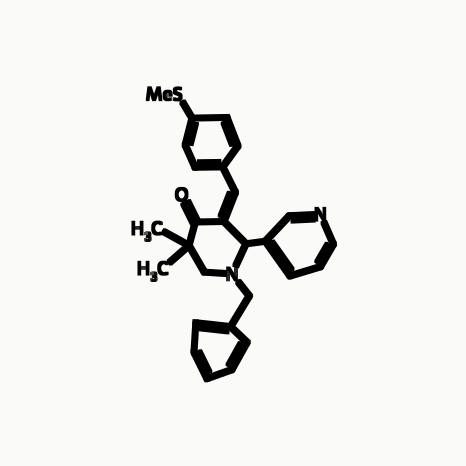 CSc1ccc(C=C2C(=O)C(C)(C)CN(Cc3ccccc3)C2c2cccnc2)cc1